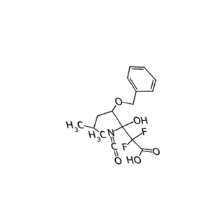 CC(C)CC(OCc1ccccc1)C(O)(N=C=O)C(F)(F)C(=O)O